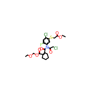 CCOCOC(=O)C1=C(C(=O)N(C(=O)CCl)c2cc(SCC(=O)OCC)c(Cl)cc2F)CCCC1